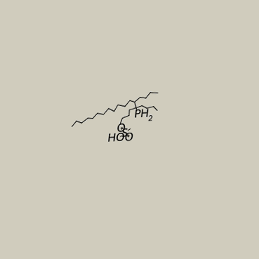 CCCCCCCCCCCCC(CCCC)C(P)(CCCC)CCCC.CS(=O)(=O)O